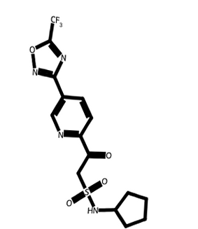 O=C(CS(=O)(=O)NC1CCCC1)c1ccc(-c2noc(C(F)(F)F)n2)cn1